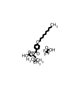 CCCCCCCCCCOc1ccc(C(=O)N[C@H](CC(=O)O)C[N+](C)(C)C)cc1.O=C(O)C(F)(F)F